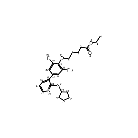 CCOC(=O)CCCCOc1c(F)cc(-c2cccnc2SC2CCCC2)cc1F